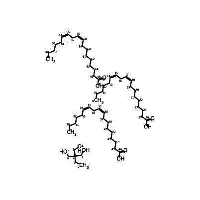 CCC(CO)(CO)CO.CCCCC/C=C\C/C=C\CCCCCCCC(=O)O.CCCCC/C=C\C/C=C\CCCCCCCC(=O)O.CCCCC/C=C\C/C=C\CCCCCCCC(=O)O